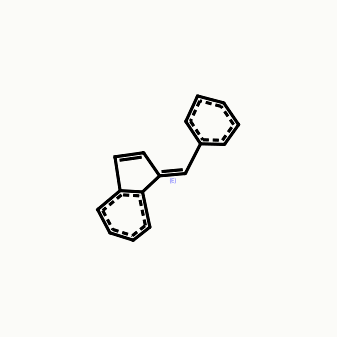 C1=Cc2ccccc2/C1=C/c1ccccc1